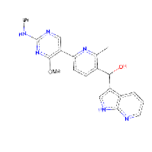 COc1nc(NC(C)C)ncc1-c1ccc(C(O)c2c[nH]c3ncccc23)c(C)n1